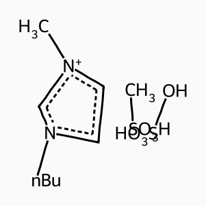 CCCCn1cc[n+](C)c1.CS(=O)(=O)O.O=S(=O)(O)O